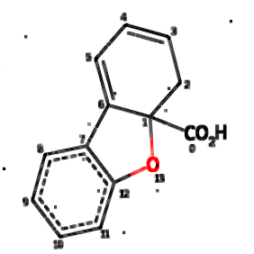 O=C(O)C12CC=CC=C1c1ccccc1O2